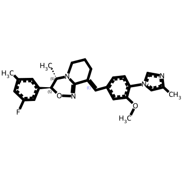 COc1cc(/C=C2\CCCN3C2=NO[C@@H](c2cc(C)cc(F)c2)[C@@H]3C)ccc1-n1cnc(C)c1